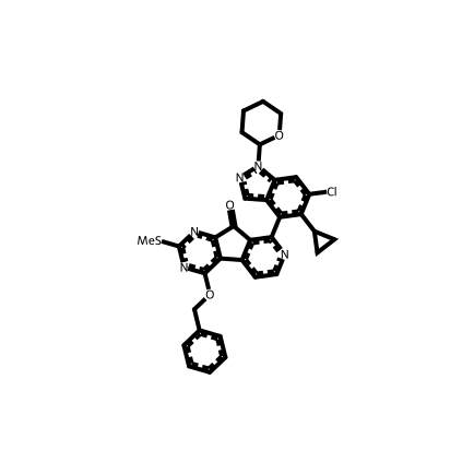 CSc1nc(OCc2ccccc2)c2c(n1)C(=O)c1c-2ccnc1-c1c(C2CC2)c(Cl)cc2c1cnn2C1CCCCO1